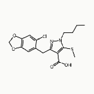 CCCCn1nc(Cc2cc3c(cc2Cl)OCO3)c(C(=O)O)c1SC